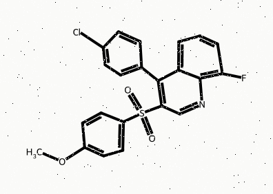 COc1ccc(S(=O)(=O)c2cnc3c(F)cccc3c2-c2ccc(Cl)cc2)cc1